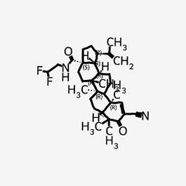 C=C(C)[C@@H]1CC[C@]2(C(=O)NCC(F)F)CC[C@]3(C)[C@H](CCC4[C@@]5(C)C=C(C#N)C(=O)C(C)(C)[C@@H]5CC[C@]43C)[C@@H]12